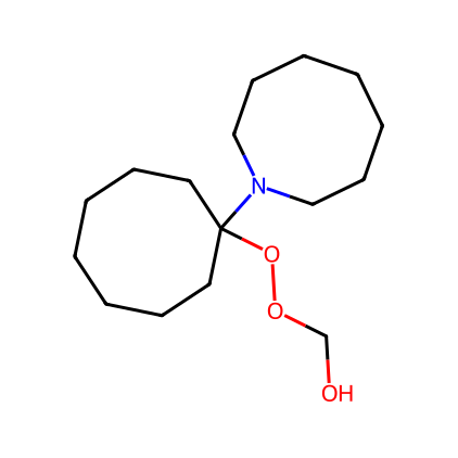 OCOOC1(N2CCCCCCC2)CCCCCCC1